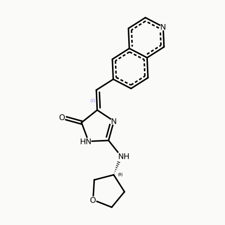 O=C1NC(N[C@@H]2CCOC2)=N/C1=C\c1ccc2cnccc2c1